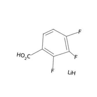 O=C(O)c1ccc(F)c(F)c1F.[LiH]